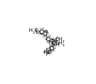 COc1ccc2ncc(-c3cccc(CN(C(=O)Nc4ccc(OC(F)(F)F)cc4)C(C)C)c3)cc2c1